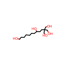 OCCCCCCCC(O)CCC(CO)(CO)CO